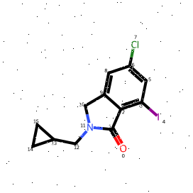 O=C1c2c(I)cc(Cl)cc2CN1CC1CC1